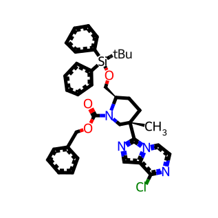 CC(C)(C)[Si](OC[C@H]1CC[C@](C)(c2ncc3c(Cl)nccn23)CN1C(=O)OCc1ccccc1)(c1ccccc1)c1ccccc1